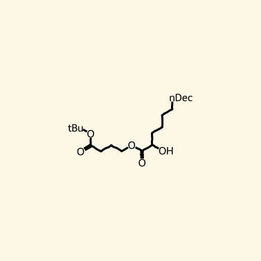 CCCCCCCCCCCCCCC(O)C(=O)OCCCC(=O)OC(C)(C)C